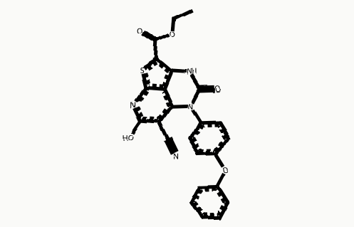 CCOC(=O)c1sc2nc(O)c(C#N)c3c2c1NC(=O)N3c1ccc(Oc2ccccc2)cc1